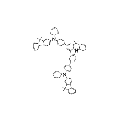 CC1(C)C2=C(CCC=C2)n2c3ccc(-c4ccc(N(c5ccccc5)c5ccc6c(c5)C(C)(C)c5ccccc5-6)cc4)cc3c3cc(-c4ccc(N(c5ccc6c(c5)C(C)(C)c5ccccc5-6)C5C=CC=CC5)cc4)cc1c32